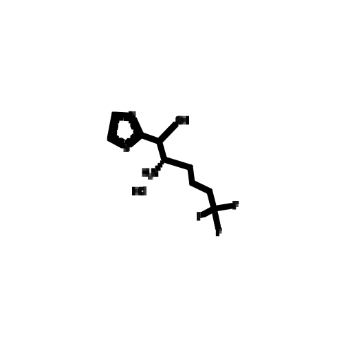 Cl.N[C@@H](CCCC(F)(F)F)C(O)c1nccs1